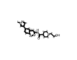 Cn1cc(-c2ccc3nnc(NC(=O)C4CCN(CCO)CC4)cc3c2)cn1